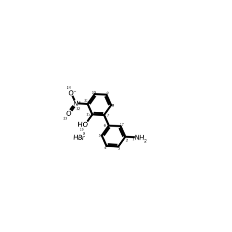 Br.Nc1cccc(-c2cccc([N+](=O)[O-])c2O)c1